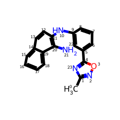 Cc1noc(-c2cccc(Nc3ccc4ccccc4c3N)c2)n1